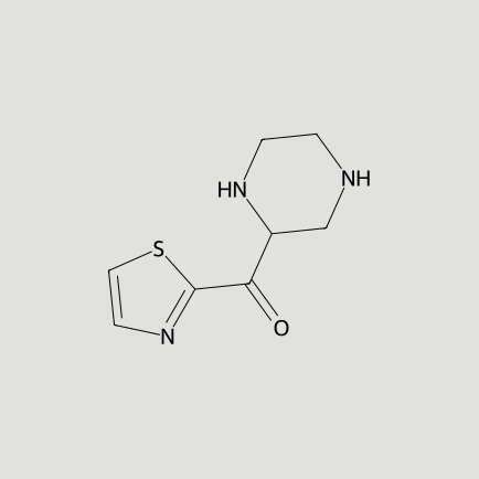 O=C(c1nccs1)C1CNCCN1